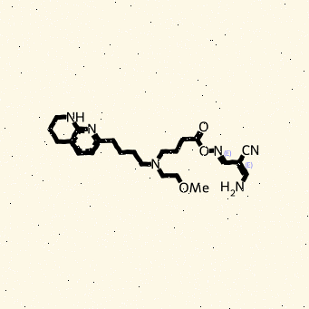 COCCN(CCCCc1ccc2c(n1)NCCC2)CCCC(=O)O/N=C/C(C#N)=C\N